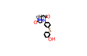 CCCCCCN1C(=O)CCC12CCC(=O)N2c1ccc(Sc2cccc(O)c2)cc1